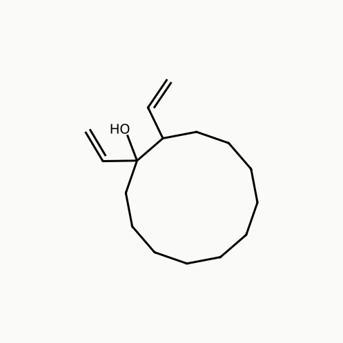 C=CC1CCCCCCCCCCC1(O)C=C